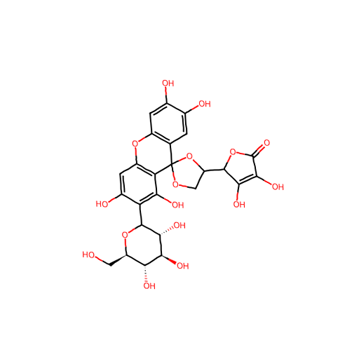 O=C1OC(C2COC3(O2)c2cc(O)c(O)cc2Oc2cc(O)c(C4O[C@H](CO)[C@@H](O)[C@H](O)[C@H]4O)c(O)c23)C(O)=C1O